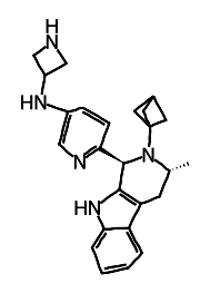 C[C@@H]1Cc2c([nH]c3ccccc23)[C@@H](c2ccc(NC3CNC3)cn2)N1C12CC(C1)C2